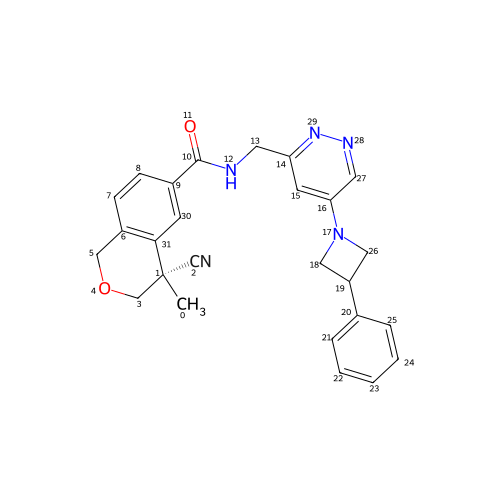 C[C@@]1(C#N)COCc2ccc(C(=O)NCc3cc(N4CC(c5ccccc5)C4)cnn3)cc21